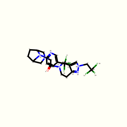 O=C(CN1CC2CCC(C1)N2c1ccc(C(F)(F)F)cn1)N1CCc2nn(CC(F)(F)F)cc2C1